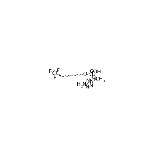 C[C@H](Cn1cnc2c(N)ncnc21)OCP(=O)(O)OCCOCCCCCCCCCCCC#Cc1c(F)cc(F)cc1F